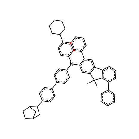 CC1(C)c2cc(N(c3ccc(-c4ccc(C5CC6CCC5C6)cc4)cc3)c3ccc(C4CCCCC4)cc3)c(-c3ccccc3)cc2-c2cccc(-c3ccccc3)c21